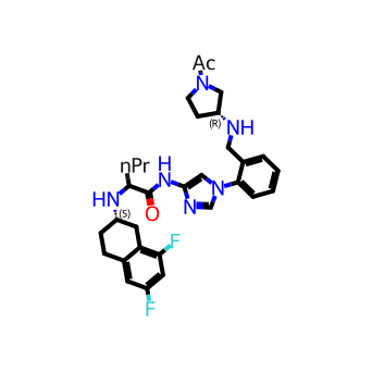 CCCC(N[C@H]1CCc2cc(F)cc(F)c2C1)C(=O)Nc1cn(-c2ccccc2CN[C@@H]2CCN(C(C)=O)C2)cn1